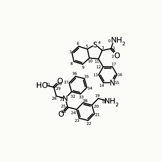 NC(=O)C1SC2C=CC=CC2C1c1ccncc1.NCc1cccc(C(=O)N(CC(=O)O)c2ccccc2)c1